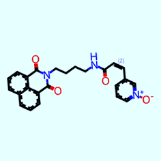 O=C(/C=C\c1ccc[n+]([O-])c1)NCCCCN1C(=O)c2cccc3cccc(c23)C1=O